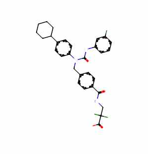 O=C(NCC(F)(F)C(=O)O)c1ccc(CN(C(=O)Nc2cccc(F)c2)c2ccc(C3CCCCC3)cc2)cc1